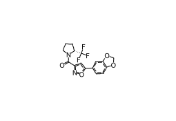 O=C(c1cc(-c2ccc3c(c2)OCO3)on1)N1CCC[C@@H]1C(F)(F)F